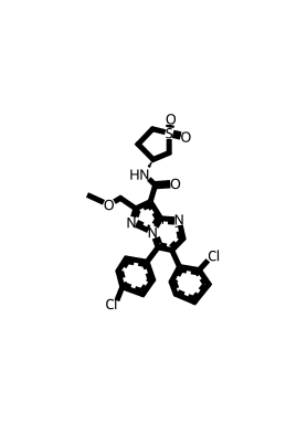 COCc1nn2c(-c3ccc(Cl)cc3)c(-c3ccccc3Cl)cnc2c1C(=O)N[C@@H]1CCS(=O)(=O)C1